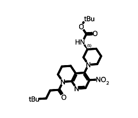 CC(C)(C)CCC(=O)N1CCCc2c1ncc([N+](=O)[O-])c2N1CCC[C@H](NC(=O)OC(C)(C)C)C1